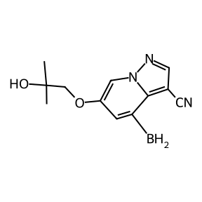 Bc1cc(OCC(C)(C)O)cn2ncc(C#N)c12